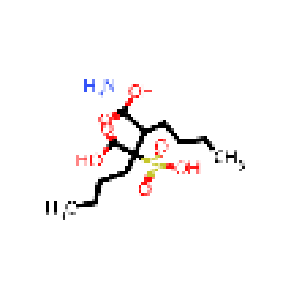 CCCCC(C(=O)O)C(CCCC)(C(=O)O)S(=O)(=O)O.N